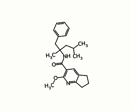 COc1nc2c(cc1C(=O)NC(C)(Cc1ccccc1)CC(C)C)CCC2